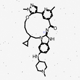 Cc1cc2cc(n1)-c1cnn(C)c1OCCCC(C1CC1)CN1/C(=N/C2=O)Nc2ccc(NC3CCN(C)CC3)cc21